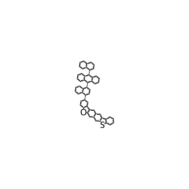 c1ccc2c(-c3c4ccccc4c(-c4ccc(-c5ccc6oc7cc8cc9sc%10ccccc%10c9cc8cc7c6c5)c5ccccc45)c4ccccc34)cccc2c1